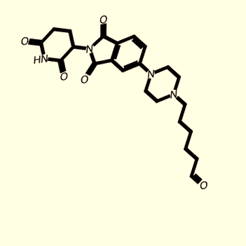 O=CCCCCCN1CCN(c2ccc3c(c2)C(=O)N(C2CCC(=O)NC2=O)C3=O)CC1